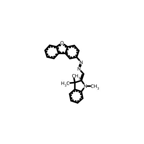 CN1C(=CN=Nc2ccc3oc4ccccc4c3c2)C(C)(C)c2ccccc21